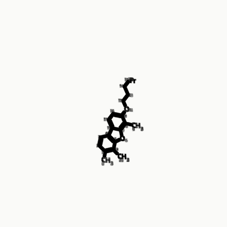 Cc1ccc2c(oc3c(C)c(OCCCC(C)C)ccc32)c1C